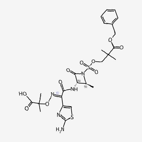 C[C@H]1[C@H](NC(=O)/C(=N/OC(C)(C)C(=O)O)c2csc(N)n2)C(=O)N1S(=O)(=O)OCC(C)(C)C(=O)OCc1ccccc1